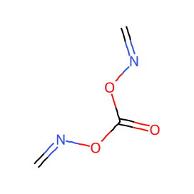 C=NOC(=O)ON=C